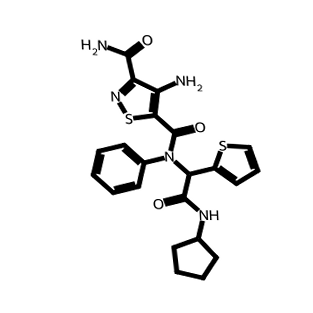 NC(=O)c1nsc(C(=O)N(c2ccccc2)C(C(=O)NC2CCCC2)c2cccs2)c1N